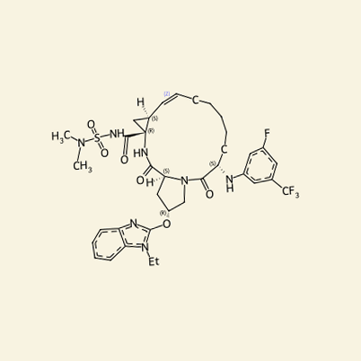 CCn1c(O[C@@H]2C[C@H]3C(=O)N[C@]4(C(=O)NS(=O)(=O)N(C)C)C[C@H]4/C=C\CCCCC[C@H](Nc4cc(F)cc(C(F)(F)F)c4)C(=O)N3C2)nc2ccccc21